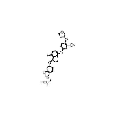 N#Cc1cc(Oc2ccc(F)c3c2CC[C@H]3Oc2ccc3c(c2)OC[C@H]3CC(=O)O)ccc1OC1CCOC1